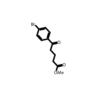 COC(=O)CCCC(=O)c1ccc(Br)cc1